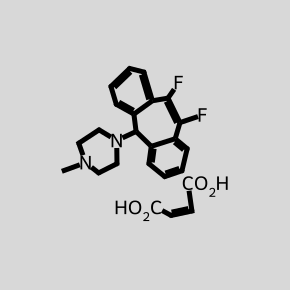 CN1CCN(C2c3ccccc3C(F)=C(F)c3ccccc32)CC1.O=C(O)/C=C\C(=O)O